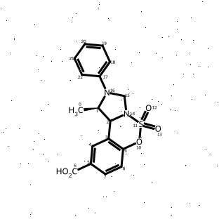 C[C@@H]1C2c3cc(C(=O)O)ccc3OS(=O)(=O)N2CN1c1ccccc1